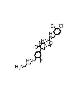 NCCCNCc1ccc(-c2c[nH]c(NC(=O)NCc3ccc(Cl)c(Cl)c3)nc2=O)cc1F